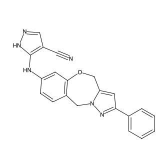 N#Cc1cn[nH]c1Nc1ccc2c(c1)OCc1cc(-c3ccccc3)nn1C2